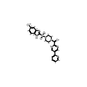 O=C(c1ncc(-c2ccccn2)cn1)N1CCN(S(=O)(=O)c2nc3cc(Cl)ccc3[nH]2)CC1